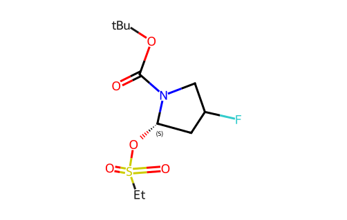 CCS(=O)(=O)O[C@H]1CC(F)CN1C(=O)OC(C)(C)C